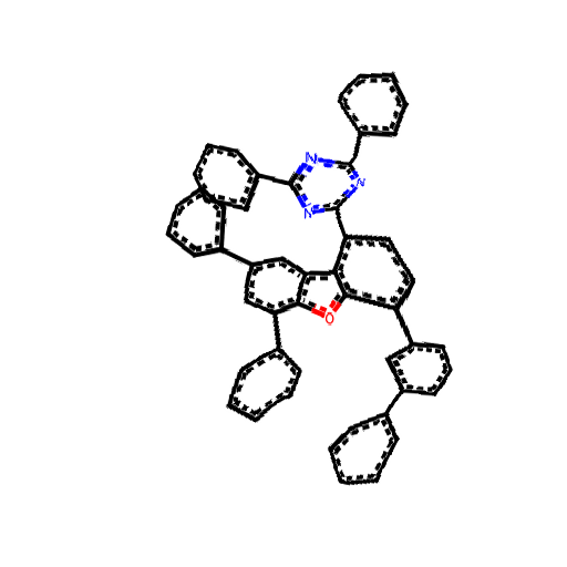 c1ccc(-c2cccc(-c3ccc(-c4nc(-c5ccccc5)nc(-c5ccccc5)n4)c4c3oc3c(-c5ccccc5)cc(-c5ccccc5)cc34)c2)cc1